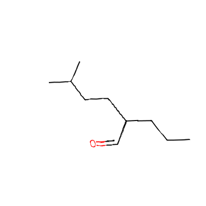 CCCC(C=O)CCC(C)C